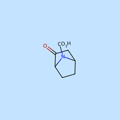 O=C1CC2CCC1N2C(=O)O